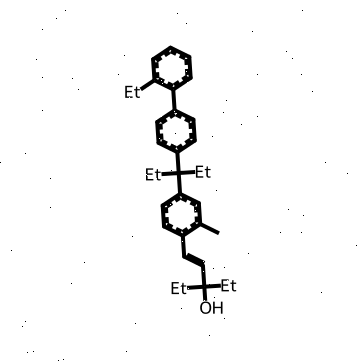 CCc1ccccc1-c1ccc(C(CC)(CC)c2ccc(/C=C/C(O)(CC)CC)c(C)c2)cc1